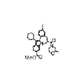 COC(=O)c1ccc2c(C3CCCCC3)c3n(c2c1)CC(C(=O)N1CCOC(C)C1)=Cc1cc(F)ccc1-3